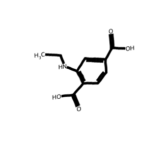 CCNc1cc(C(=O)O)ccc1C(=O)O